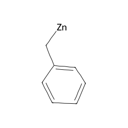 [Zn][CH2]c1ccccc1